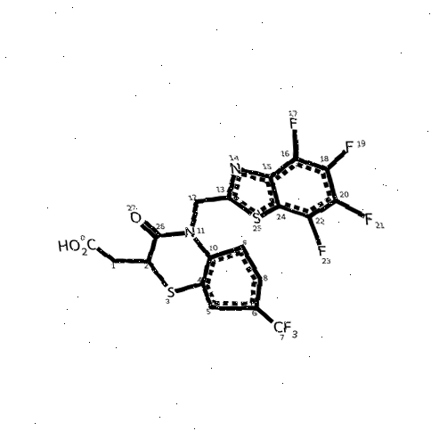 O=C(O)CC1Sc2cc(C(F)(F)F)ccc2N(Cc2nc3c(F)c(F)c(F)c(F)c3s2)C1=O